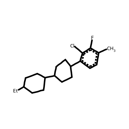 CCC1CCC(C2CCC(c3ccc(C)c(F)c3Cl)CC2)CC1